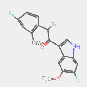 COc1cc(F)ccc1C(Br)C(=O)c1c[nH]c2cc(F)c(OC(F)(F)F)cc12